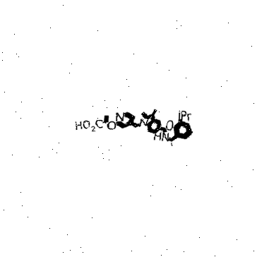 Cc1c(C)n(Cc2ccnc(O[C@@H](C)C(=O)O)c2)c2ccc(C(=O)N[C@@H](C)c3cccc(C(C)C)c3)cc12